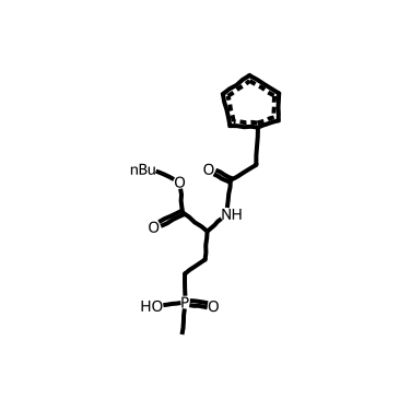 CCCCOC(=O)C(CCP(C)(=O)O)NC(=O)Cc1ccccc1